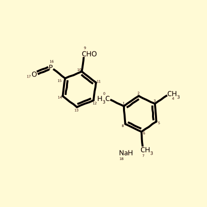 Cc1cc(C)cc(C)c1.O=Cc1ccccc1P=O.[NaH]